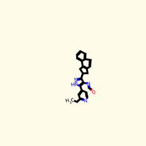 CCc1cc(-c2[nH]nc(C3Cc4ccc5ccccc5c4C3)c2N=C=O)ccn1